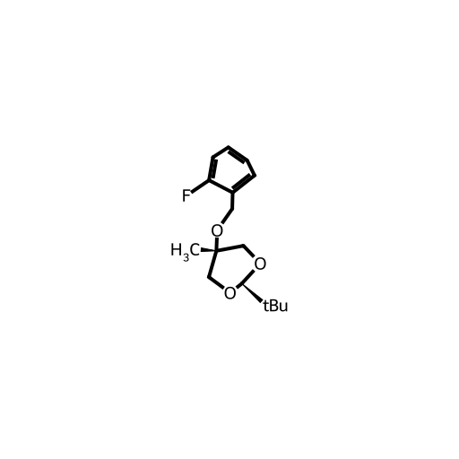 CC(C)(C)[C@H]1OC[C@](C)(OCc2ccccc2F)CO1